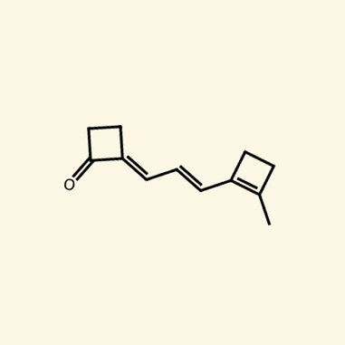 CC1=C(C=CC=C2CCC2=O)CC1